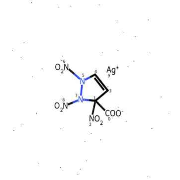 O=C([O-])C1([N+](=O)[O-])C=CN([N+](=O)[O-])N1[N+](=O)[O-].[Ag+]